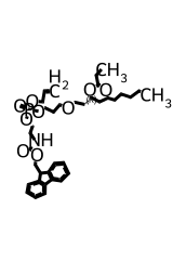 C=CCOP(=O)(OCCCOCC[C@@H](CCCCCCC)OC(=O)CC)OCCNC(=O)OCC1c2ccccc2-c2ccccc21